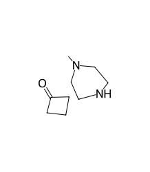 CN1CCNCC1.O=C1CCC1